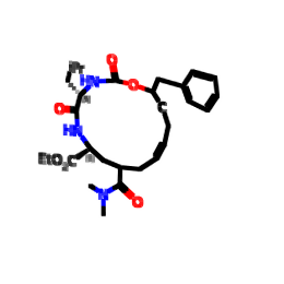 CCOC(=O)[C@@H]1CC(C(=O)N(C)C)CC=CCCC(Cc2ccccc2)OC(=O)N[C@@H](CC(C)C)C(=O)N1